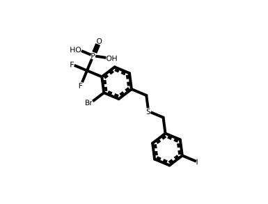 O=P(O)(O)C(F)(F)c1ccc(CSCc2cccc(I)c2)cc1Br